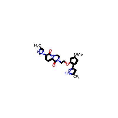 COc1ccc(-c2cc(C(F)(F)F)[nH]n2)c(OCCN2CCn3c(ccc(-n4cnc(C)c4)c3=O)C2=O)c1